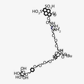 CC(C)(C)OC(=O)N[C@@H](Cc1cn(CCOCCOCCOCCOc2ccc(CCO[C@@H]3O[C@H](CO)[C@@H](O)[C@H](O)[C@H]3O)cc2)nn1)C(=O)NCCOCCOCCOCCN(N)/C=C(\N)CNC(=O)COc1cc([S+]=O)c2ccc3c(S(=O)(=O)O)cc(S(=O)(=O)O)c4ccc1c2c43